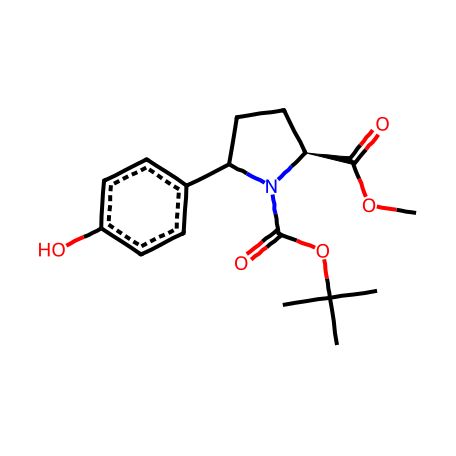 COC(=O)[C@@H]1CCC(c2ccc(O)cc2)N1C(=O)OC(C)(C)C